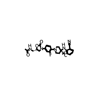 [C-]#[N+]C1(Nc2ccccc2C#N)CCN(c2ccc(N3C[C@H](CNC(C)=O)OC3=O)cc2F)CC1